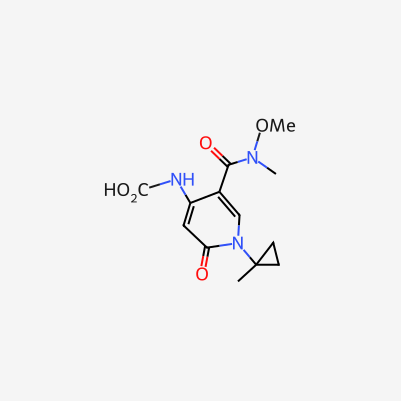 CON(C)C(=O)c1cn(C2(C)CC2)c(=O)cc1NC(=O)O